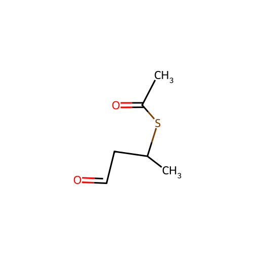 CC(=O)SC(C)CC=O